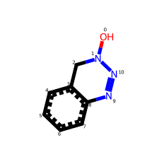 ON1Cc2ccccc2N=N1